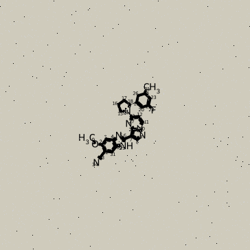 COc1cc2nc(-c3cnn4ccc(N5CCC[C@@H]5C5=CC(F)=CC(C)C5)nc34)[nH]c2cc1C#N